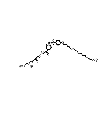 CCOC(COCC(=O)O)NC(=O)COCCNC(=O)c1cnc(NS(=O)(=O)c2ccc(OCCCCCCCCCCCCCCCC(=O)O)cc2)nc1